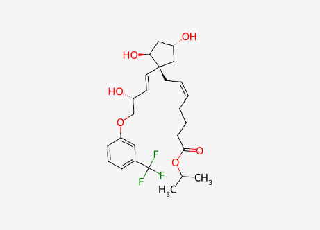 CC(C)OC(=O)CCC/C=C\C[C@]1(/C=C/[C@@H](O)COc2cccc(C(F)(F)F)c2)C[C@@H](O)C[C@@H]1O